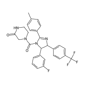 Cc1ccc(C2=NC(c3ccc(C(F)(F)F)cc3)C(c3cccc(F)c3)N2C(=O)N2CCNC(=O)C2)cc1